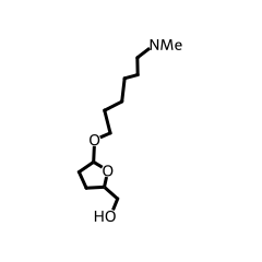 CNCCCCCCOC1CCC(CO)O1